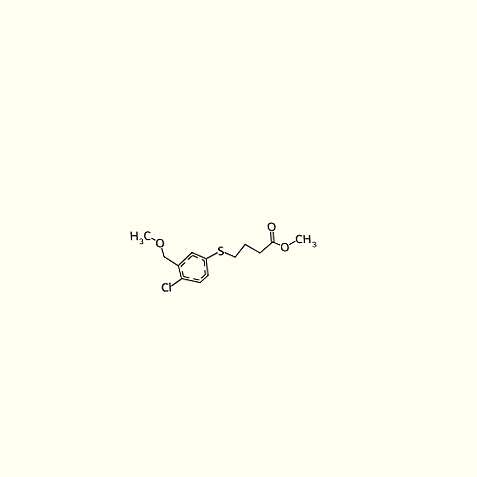 COCc1cc(SCCCC(=O)OC)ccc1Cl